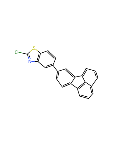 Clc1nc2cc(-c3ccc4c(c3)-c3cccc5cccc-4c35)ccc2s1